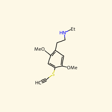 C#CSc1cc(OC)c(CCNCC)cc1OC